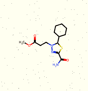 COC(=O)CCN1N=C(C(N)=O)SC1C1CCCCC1